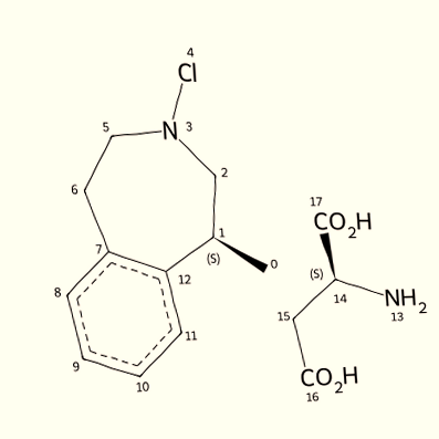 C[C@@H]1CN(Cl)CCc2ccccc21.N[C@@H](CC(=O)O)C(=O)O